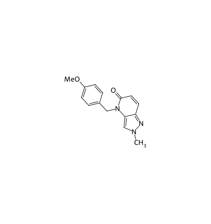 COc1ccc(Cn2c(=O)ccc3nn(C)cc32)cc1